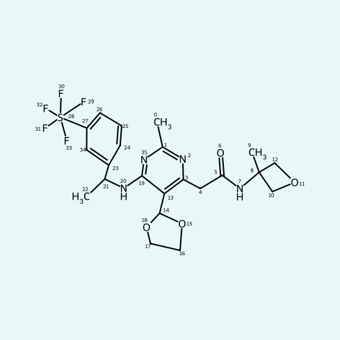 Cc1nc(CC(=O)NC2(C)COC2)c(C2OCCO2)c(NC(C)c2cccc(S(F)(F)(F)(F)F)c2)n1